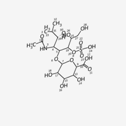 CC(=O)NC(C(OC1OC(C(=O)O)C(O)C(O)C1O)C(OS(=O)(=O)O)C(O)CO)[C@@H](O)C(C)C